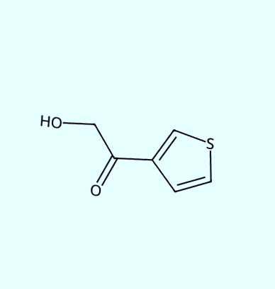 O=C(CO)c1ccsc1